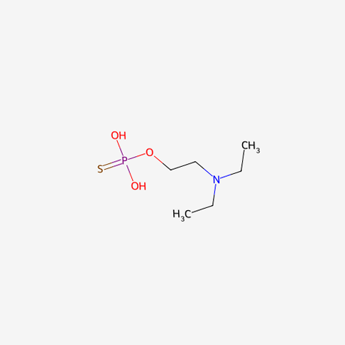 CCN(CC)CCOP(O)(O)=S